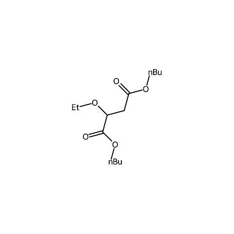 CCCCOC(=O)CC(OCC)C(=O)OCCCC